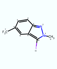 Cn1nc2ccc(C(F)(F)F)cc2c1I